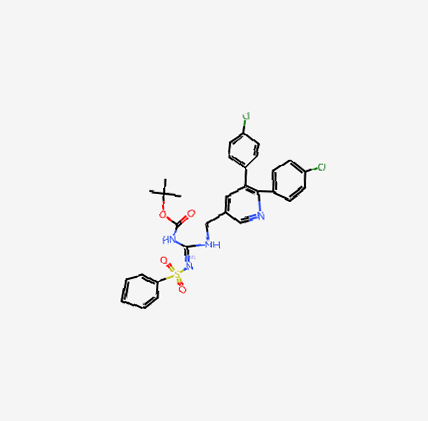 CC(C)(C)OC(=O)N/C(=N\S(=O)(=O)c1ccccc1)NCc1cnc(-c2ccc(Cl)cc2)c(-c2ccc(Cl)cc2)c1